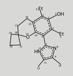 CCc1c(O)c(CC)c(-c2nc(C)c(C)[nH]2)c2c1CCC1(CCC1)O2